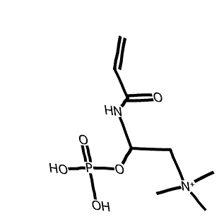 C=CC(=O)NC(C[N+](C)(C)C)OP(=O)(O)O